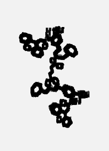 CC(C)(C)c1ccc(CC[C@@H](CC2CCCCC2)OC(=O)CCCC(=O)O[C@@H](CCc2ccc(C(C)(C)C)c(NC(=O)CC3c4ccccc4Oc4ccccc43)c2)CC2CCCCC2)cc1NC(=O)CC1c2ccccc2Oc2ccccc21